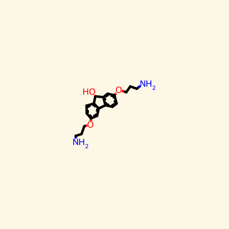 NCCCOc1ccc2c(c1)-c1ccc(OCCCN)cc1C2O